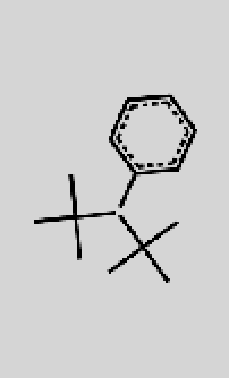 CC(C)(C)I(c1ccccc1)C(C)(C)C